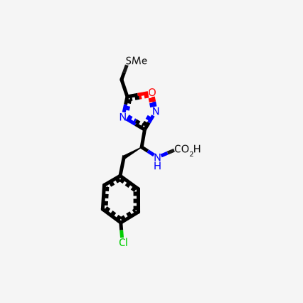 CSCc1nc([C@H](Cc2ccc(Cl)cc2)NC(=O)O)no1